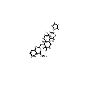 COC(=O)c1ncccc1OCC[C@@H]1C(C)(C)CCC2[C@]3(C)CO[C@@H](C4CCCC4)O[C@@H]3CC[C@]21C